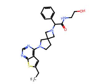 O=C(NCCO)C(c1ccccc1)N1CC2(CCN(c3ncnc4sc(CC(F)(F)F)cc34)C2)C1